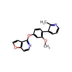 COc1cc(Oc2nccc3occc23)ccc1-c1cccnc1C